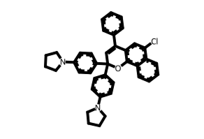 Clc1cc2c(c3ccccc13)OC(c1ccc(N3CCCC3)cc1)(c1ccc(N3CCCC3)cc1)C=C2c1ccccc1